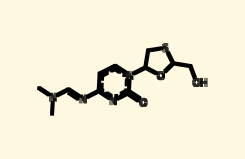 CN(C)C=Nc1ccn(C2CSC(CO)O2)c(=O)n1